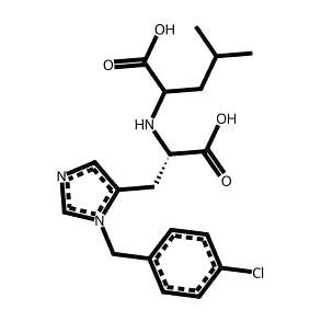 CC(C)CC(N[C@@H](Cc1cncn1Cc1ccc(Cl)cc1)C(=O)O)C(=O)O